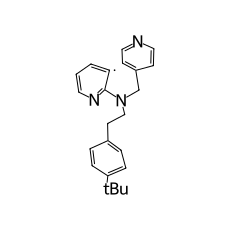 CC(C)(C)c1ccc(CCN(Cc2ccncc2)c2[c]cccn2)cc1